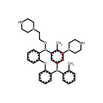 Cc1ccccc1B(OCCN1CCNCC1)c1ccccc1Oc1ccccc1B(OCCN1CCNCC1)c1ccccc1C